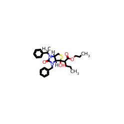 CCCOC(=O)C(CCC)C1(O)SC[C@@H]2[C@H]1N(Cc1ccccc1)C(=O)N2[C@H](C)c1ccccc1